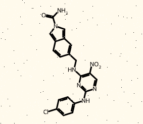 NC(=O)n1cc2ccc(CNc3nc(Nc4ccc(Cl)cc4)ncc3[N+](=O)[O-])cc2c1